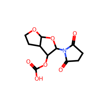 O=C(O)OC1C2CCOC2OC1N1C(=O)CCC1=O